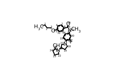 CCCCOc1ccc(C(=O)N(C)c2ccc(N3CCC(N4CCCC4C)C3)c(F)c2)cc1